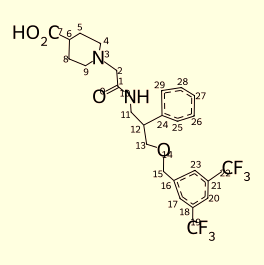 O=C(CN1CCC(C(=O)O)CC1)NCC(COCc1cc(C(F)(F)F)cc(C(F)(F)F)c1)c1ccccc1